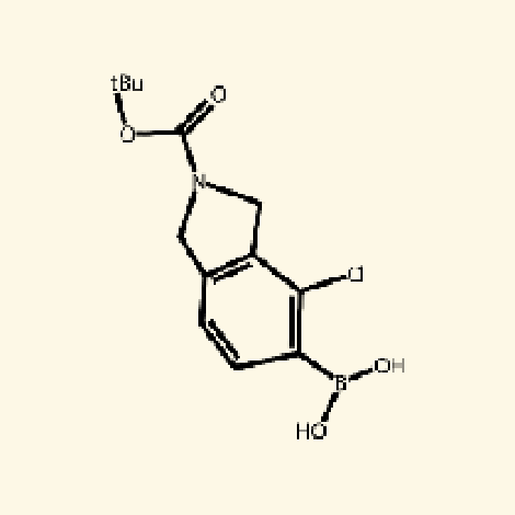 CC(C)(C)OC(=O)N1Cc2ccc(B(O)O)c(Cl)c2C1